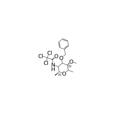 CO[C@H]1C(C)O[C@@H](C)C(NC(=O)C(Cl)(Cl)Cl)C1OCc1ccccc1